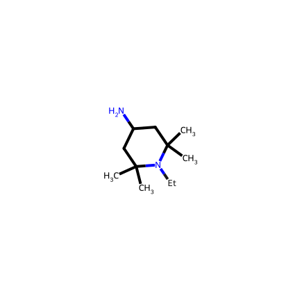 [CH2]CN1C(C)(C)CC(N)CC1(C)C